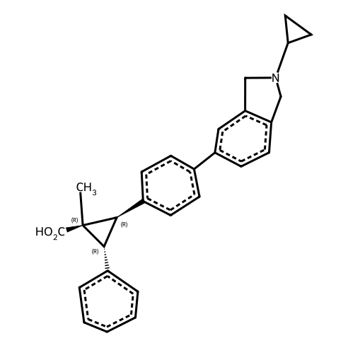 C[C@@]1(C(=O)O)[C@@H](c2ccccc2)[C@@H]1c1ccc(-c2ccc3c(c2)CN(C2CC2)C3)cc1